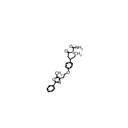 CCC(CC(=O)SC(N)=O)c1ccc(OCCc2nc(-c3ccccc3)oc2C)cc1